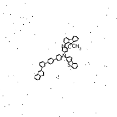 CC1(C)c2ccccc2-c2cccc(-c3ccc(N(c4ccc(-c5ccc(-c6cccc(-c7ccc8ccccc8c7)c6)cc5)cc4)c4ccc5c(c4)sc4ccccc45)cc3)c21